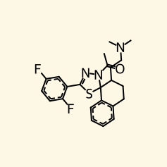 CC(=O)N1N=C(c2cc(F)ccc2F)SC12c1ccccc1CCC2CCN(C)C